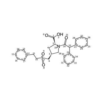 O=C(O)[C@@H]1C[C@H](CS(=O)(=O)CCc2ccccc2)CN1C(=O)C(c1ccccc1)c1ccccc1